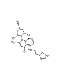 Cc1cc(=O)c2c(NCCc3c[nH]cn3)cncc2n1-c1c(Cl)cc(C#N)cc1Cl